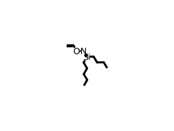 C=CON=[Si](CCCC)CCCCC